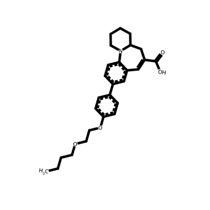 CCCCOCCOc1ccc(-c2ccc3c(c2)C=C(C(=O)O)CC2CCCCN32)cc1